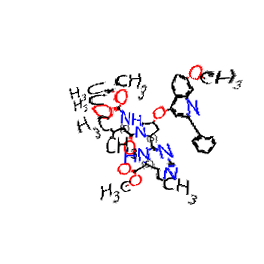 CCC[C@H](NC(=NC#N)[C@@H]1CC(Oc2cc(-c3ccccc3)nc3cc(OC)ccc23)CN1C(=O)[C@@H](NC(=O)OC(C)(C)C)C(C)C)C(=O)OC